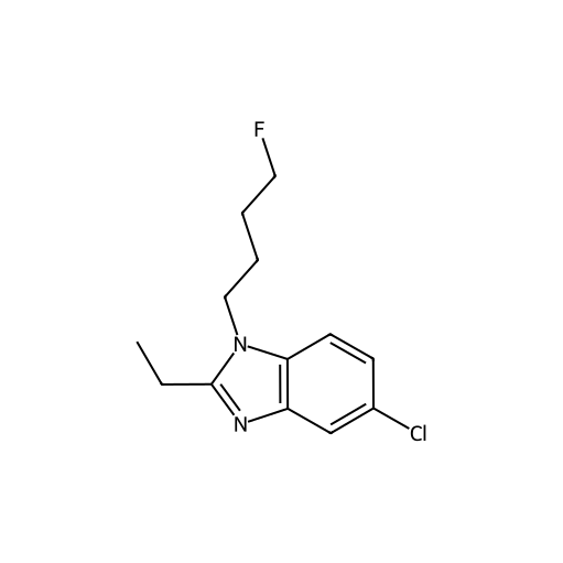 CCc1nc2cc(Cl)ccc2n1CCCCF